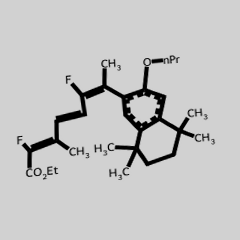 CCCOc1cc2c(cc1\C(C)=C(F)/C=C/C(C)=C(\F)C(=O)OCC)C(C)(C)CCC2(C)C